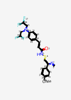 C=N/C(=C\SNC(=O)/C=C/c1ccc(N(CC(F)F)CC(F)F)cc1)c1ccc(OC)cc1